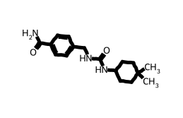 CC1(C)CCC(NC(=O)NCc2ccc(C(N)=O)cc2)CC1